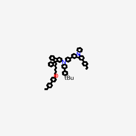 C=CC1=CC=C(c2ccc(OCCCCCCC3(c4ccccc4)C4=CC(N(C5=CC=C(c6ccc(C(C)(C)C)cc6)CC5)c5ccc(C6=CC7C8=CC(c9ccc(C=C)cc9)CC=C8N(C8C=CC=CC8)C7C=C6)cc5)=CCC4c4ccccc43)cc2)CC1